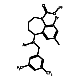 CC(=O)N(Cc1cc(C(F)(F)F)cc(C(F)(F)F)c1)C1CCCN(C(=O)OC(C)C)c2c(Br)cc(C)cc21